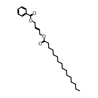 CCCCCCCCCCCCCCCC(=O)OCC=CCOC(=O)c1ccccc1